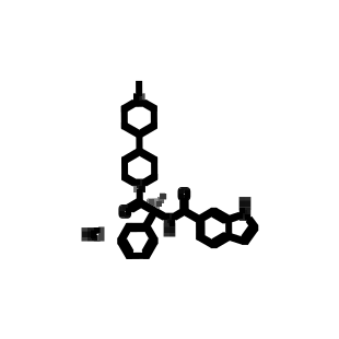 CN1CCC(C2CCN(C(=O)[C@@](C)(NC(=O)c3ccc4cc[nH]c4c3)c3ccccc3)CC2)CC1.Cl